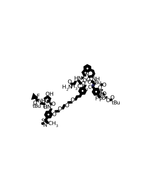 C/C(=C\C(=O)N[C@H]1CCc2cccc3c2N(C1=O)[C@H](C(=O)N[C@@H](CCC(N)=O)[C@@H](C)OCc1ccc(CCCOCCOCCOCCOc2cc(-c4scnc4C)ccc2CNC(=O)[C@@H]2C[C@@H](O)CN2C(=O)[C@@H](NC(=O)C2(F)CC2)C(C)(C)C)cc1)C3)c1ccc(C(F)(F)P(=O)(OCOC(=O)C(C)(C)C)OCOC(=O)C(C)(C)C)cc1